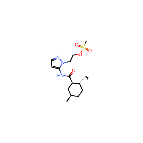 CC(C)[C@@H]1CC[C@@H](C)C[C@H]1C(=O)Nc1ccnn1CCOS(C)(=O)=O